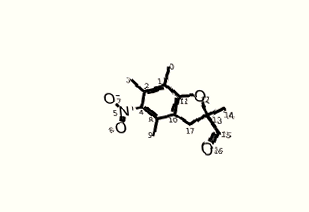 Cc1c(C)c([N+](=O)[O-])c(C)c2c1OC(C)(C=O)C2